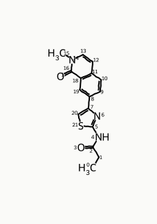 CCC(=O)Nc1nc(-c2ccc3ccn(C)c(=O)c3c2)cs1